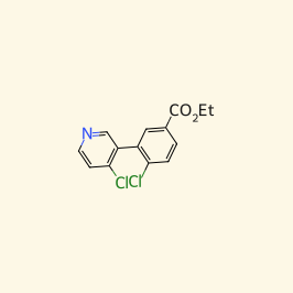 CCOC(=O)c1ccc(Cl)c(-c2cnccc2Cl)c1